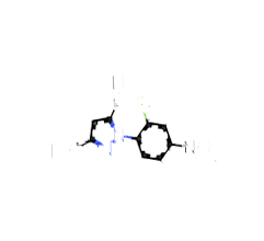 Cc1cc(C(F)(F)F)nn1-c1ccc([N+](=O)[O-])cc1F